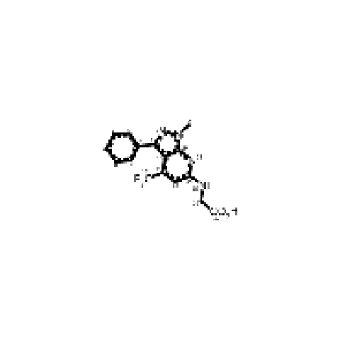 Cn1nc(-c2ccccc2)c2c(C(F)(F)F)cc(NCC(=O)O)nc21